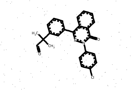 CC(C)(C=O)c1cccc(-c2nn(-c3ccc(Cl)cc3)c(=O)c3ccccc23)c1